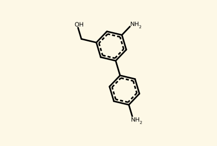 Nc1ccc(-c2cc(N)cc(CO)c2)cc1